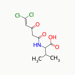 CC(C)C(NC(=O)CC(=O)C=C(Cl)Cl)C(=O)O